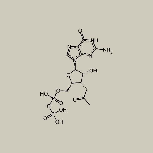 CC(=O)C[C@H]1[C@@H](O)[C@H](n2cnc3c(=O)[nH]c(N)nc32)O[C@@H]1COP(=O)(O)OP(=O)(O)O